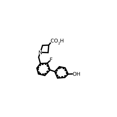 O=C(O)C1CN(Cc2cccc(-c3ccc(O)cc3)c2F)C1